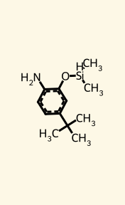 C[SiH](C)Oc1cc(C(C)(C)C)ccc1N